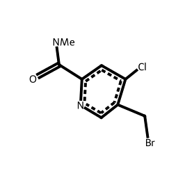 CNC(=O)c1cc(Cl)c(CBr)cn1